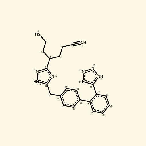 C#CCCC(CCS)c1n[nH]c(Cc2ccc(-c3ccccc3-c3nnn[nH]3)cc2)n1